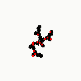 CC1(C)c2ccccc2-c2ccc(-n3c4ccccc4c4cc(-c5ccc6c(c5)c5ccccc5n6-c5cccc(-c6ccc(-c7nc(-c8ccccc8)nc(-n8c9ccc(-c%10ccc%11c(c%10)c%10ccccc%10n%11-c%10ccc%11c(c%10)C(C)(C)c%10ccccc%10-%11)cc9c9cc(-c%10ccc%11c(c%10)c%10ccccc%10n%11-c%10ccc%11c(c%10)C(C)(C)c%10ccccc%10-%11)ccc98)n7)cc6)c5)ccc43)cc21